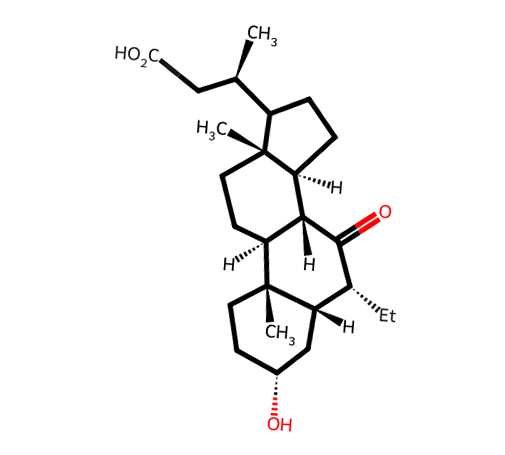 CC[C@H]1C(=O)[C@@H]2[C@H](CC[C@]3(C)C([C@H](C)CC(=O)O)CC[C@@H]23)[C@@]2(C)CC[C@@H](O)C[C@@H]12